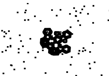 N#Cc1c(-n2c3ccccc3c3ccccc32)c(-n2c3ccccc3c3ccccc32)c(-n2c3ccccc3c3ccccc32)c2oc3ccccc3c12